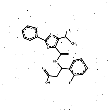 CC(C)c1oc(-c2ccccc2)nc1C(=O)NC(CC(=O)O)c1ccccc1F